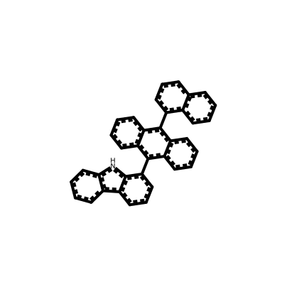 c1ccc2c(-c3c4ccccc4c(-c4cccc5c4[nH]c4ccccc45)c4ccccc34)cccc2c1